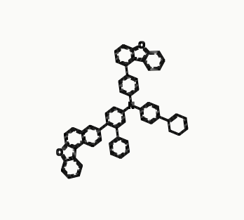 C1=CCCC(c2ccc(N(c3ccc(-c4cccc5oc6ccccc6c45)cc3)c3ccc(-c4ccc5c(ccc6oc7ccccc7c65)c4)c(-c4ccccc4)c3)cc2)=C1